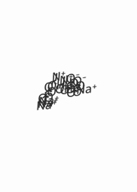 C[N+](C)(C)CCO.C[N+](C)(C)CCO.O=C([O-])CC(=O)[O-].O=C([O-])CC(=O)[O-].O=C([O-])CC(=O)[O-].[Na+].[Na+].[Na+].[Na+]